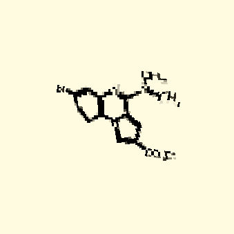 CCOC(=O)c1cc2c(N(C)C)nc3cc(Br)ccc3n2c1